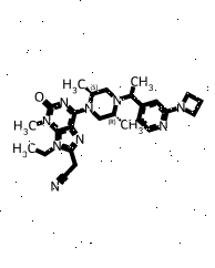 CCn1c(CC#N)nc2c(N3C[C@@H](C)N(C(C)c4ccnc(N5CCC5)c4)C[C@@H]3C)nc(=O)n(C)c21